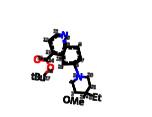 CCC1(OC)CCN(c2ccc3nccc(C(=O)OC(C)(C)C)c3c2)CC1